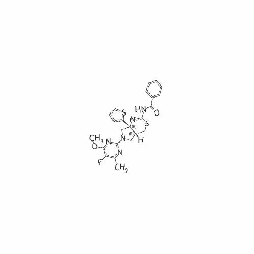 COc1nc(N2C[C@H]3CSC(NC(=O)c4ccccc4)=N[C@@]3(c3cccs3)C2)nc(C)c1F